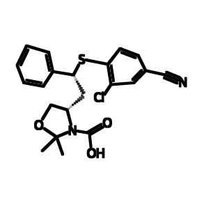 CC1(C)OC[C@H](C[C@@H](Sc2ccc(C#N)cc2Cl)c2ccccc2)N1C(=O)O